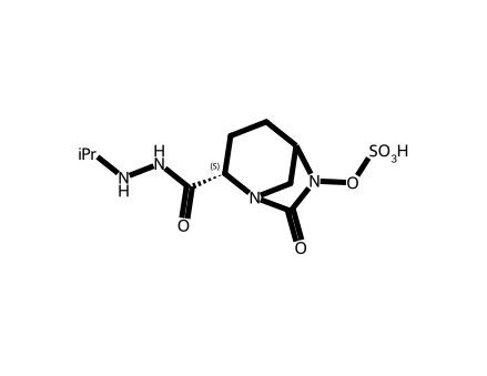 CC(C)NNC(=O)[C@@H]1CCC2CN1C(=O)N2OS(=O)(=O)O